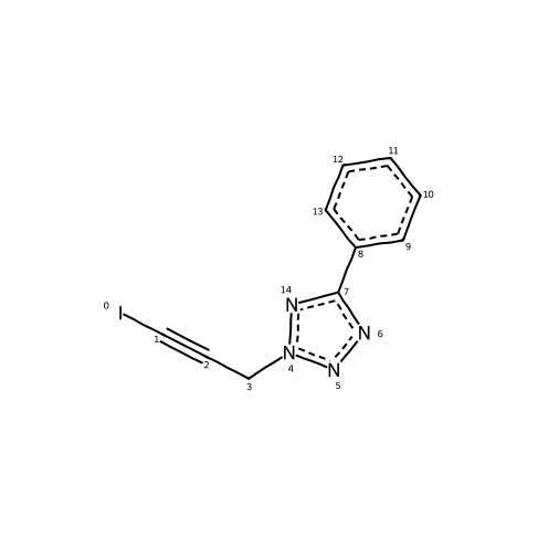 IC#CCn1nnc(-c2ccccc2)n1